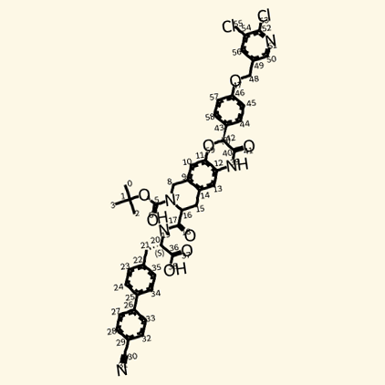 CC(C)(C)OC(=O)N1Cc2cc3c(cc2CC1C(=O)N[C@@H](Cc1ccc(-c2ccc(C#N)cc2)cc1)C(=O)O)NC(=O)[C@H](c1ccc(OCc2cnc(Cl)c(Cl)c2)cc1)O3